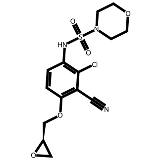 N#Cc1c(OC[C@H]2CO2)ccc(NS(=O)(=O)N2CCOCC2)c1Cl